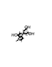 Cn1ccc2c1c(O)cn2N(CCO)CCO